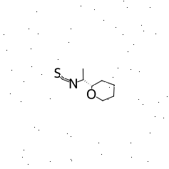 CC(N=C=S)[C@@H]1CCCCO1